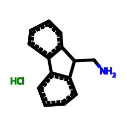 Cl.NCC1c2ccccc2-c2ccccc21